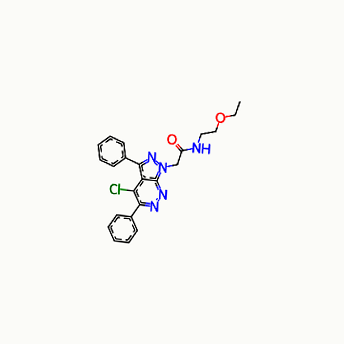 CCOCCNC(=O)Cn1nc(-c2ccccc2)c2c(Cl)c(-c3ccccc3)nnc21